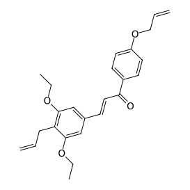 C=CCOc1ccc(C(=O)/C=C/c2cc(OCC)c(CC=C)c(OCC)c2)cc1